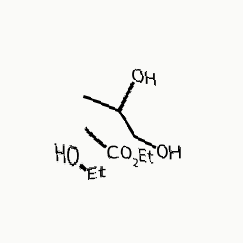 CC(O)CO.CCO.CCOC(C)=O